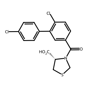 O=C(O)[C@H]1CSCN1C(=O)c1ccc(Cl)c(-c2ccc(Cl)cc2)c1